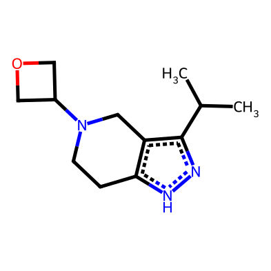 CC(C)c1n[nH]c2c1CN(C1COC1)CC2